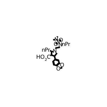 CCCC1C(C(=O)O)C(c2ccc3c(c2)OCO3)CN1CCN(CCC)S(=O)(=O)N(C)C